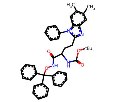 Cc1cc2nc(CCC(NC(=O)OC(C)(C)C)C(=O)NOC(c3ccccc3)(c3ccccc3)c3ccccc3)n(-c3ccccc3)c2cc1C